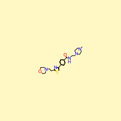 CN1CCN(CCNC(=O)c2ccc(-c3csc(CCN4CCOCC4)n3)cc2)CC1